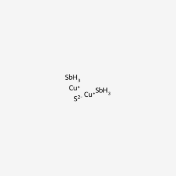 [Cu+].[Cu+].[S-2].[SbH3].[SbH3]